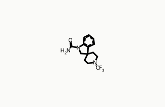 NC(=O)N1CC2(CCN(C(F)(F)F)CC2)c2ccccc21